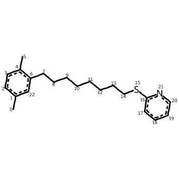 Cc1ccc(C)c(CCCCCCCCSc2ccccn2)c1